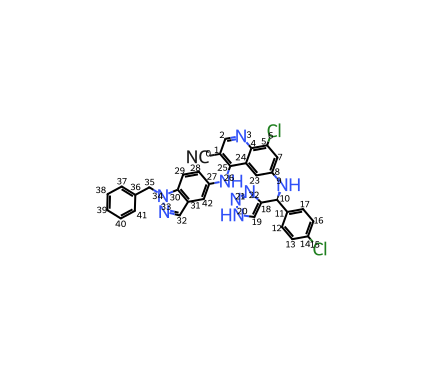 N#Cc1cnc2c(Cl)cc(N[C@@H](c3ccc(Cl)cc3)c3c[nH]nn3)cc2c1Nc1ccc2c(cnn2Cc2ccccc2)c1